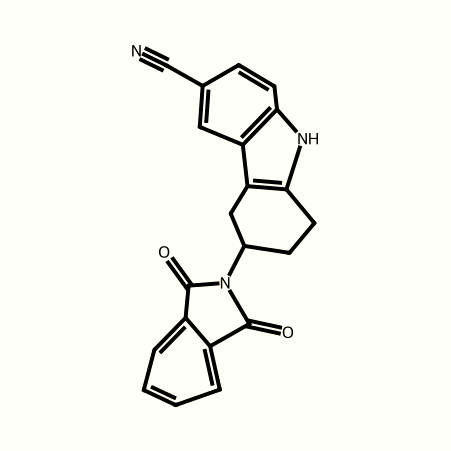 N#Cc1ccc2[nH]c3c(c2c1)CC(N1C(=O)c2ccccc2C1=O)CC3